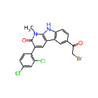 Cn1c(=O)c(-c2ccc(Cl)cc2Cl)cc2c3cc(C(=O)CBr)ccc3[nH]c21